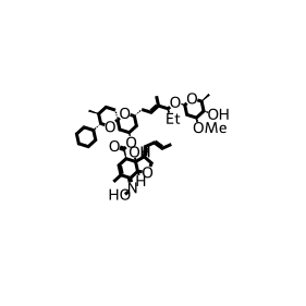 C/C=C/C=C1\CO[C@@H]2/C(=N/O)C(C)=C[C@@H](C(=O)O[C@H]3C[C@@H](C/C=C(\C)[C@H](CC)O[C@H]4C[C@H](OC)[C@@H](O)[C@H](C)O4)O[C@@]4(CC[C@H](C)[C@@H](C5CCCCC5)O4)C3)[C@]12O